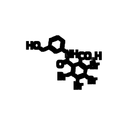 O=C(O)c1c(Br)c(Br)c(Br)c(Br)c1C(=O)Nc1cccc(CO)c1